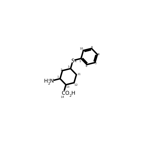 NC1CC(Sc2ccccc2)CCC1C(=O)O